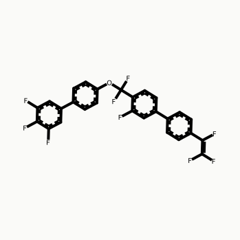 FC(F)=C(F)c1ccc(-c2ccc(C(F)(F)Oc3ccc(-c4cc(F)c(F)c(F)c4)cc3)c(F)c2)cc1